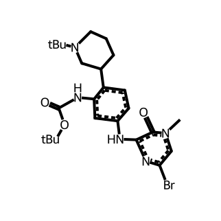 Cn1cc(Br)nc(Nc2ccc(C3CCCN(C(C)(C)C)C3)c(NC(=O)OC(C)(C)C)c2)c1=O